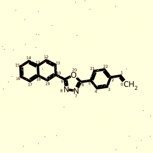 C=Cc1ccc(-c2nnc(-c3ccc4ccccc4c3)o2)cc1